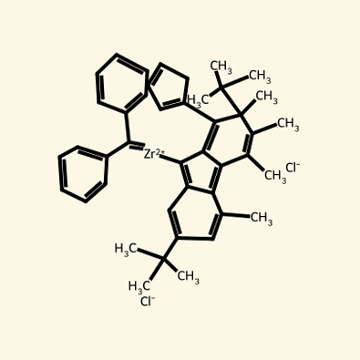 CC1=C(C)C(C)(C(C)(C)C)C(C2=CC=CC2)=C2[C]([Zr+2]=[C](c3ccccc3)c3ccccc3)=c3cc(C(C)(C)C)cc(C)c3=C12.[Cl-].[Cl-]